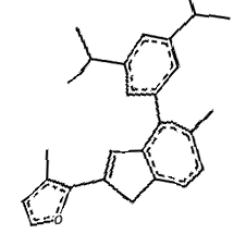 Cc1ccoc1C1=Cc2c(ccc(C)c2-c2cc(C(C)C)cc(C(C)C)c2)C1